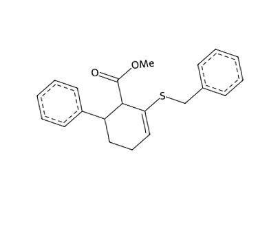 COC(=O)C1C(SCc2ccccc2)=CCCC1c1ccccc1